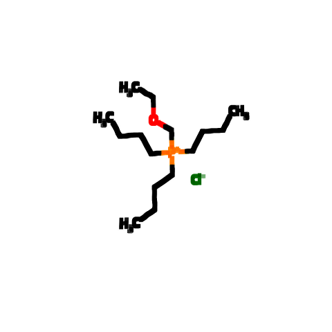 CCCC[P+](CCCC)(CCCC)COCC.[Cl-]